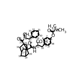 CN(C)C(=O)Oc1ccc(C[C@H](NC(=O)C23CC4CC(C2)CC(C(=O)N(C)Cc2ccccc2)(C4)C3)C(=O)O)cc1